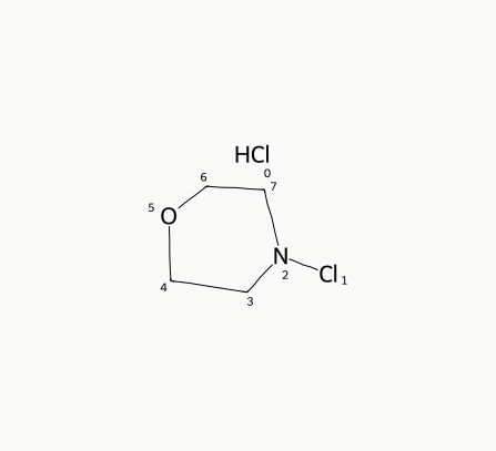 Cl.ClN1CCOCC1